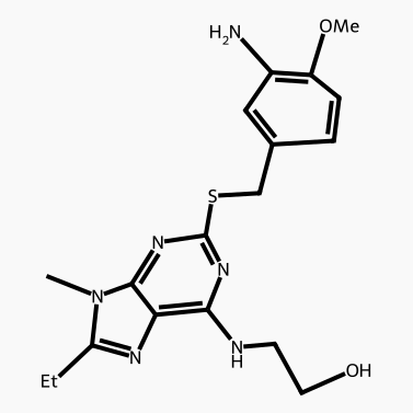 CCc1nc2c(NCCO)nc(SCc3ccc(OC)c(N)c3)nc2n1C